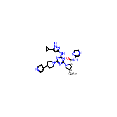 CO[C@H]1C[C@@H](C(=O)Nc2cnccn2)N(c2nc(Nc3cc(C4CC4)[nH]n3)nc(N3CCC(c4ccncc4)CC3)n2)C1